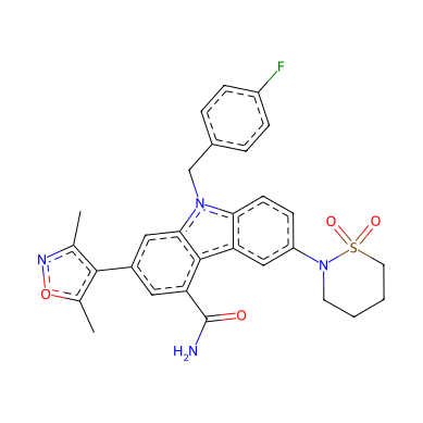 Cc1noc(C)c1-c1cc(C(N)=O)c2c3cc(N4CCCCS4(=O)=O)ccc3n(Cc3ccc(F)cc3)c2c1